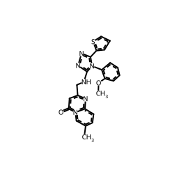 COc1ccccc1-n1c(NCc2cc(=O)n3cc(C)ccc3n2)nnc1-c1cccs1